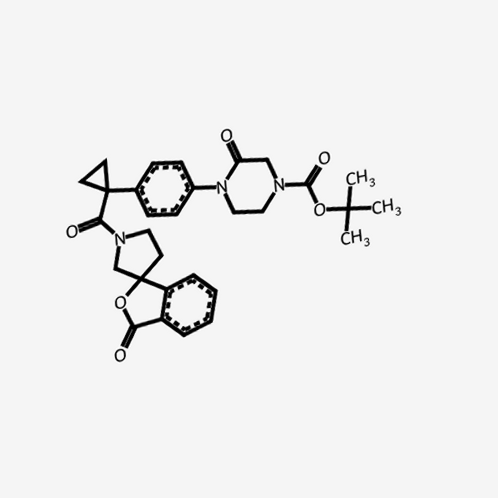 CC(C)(C)OC(=O)N1CCN(c2ccc(C3(C(=O)N4CCC5(C4)OC(=O)c4ccccc45)CC3)cc2)C(=O)C1